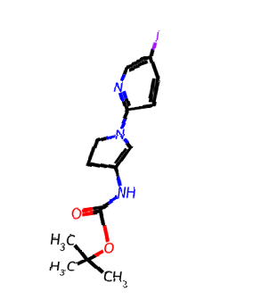 CC(C)(C)OC(=O)NC1=CN(c2ccc(I)cn2)CC1